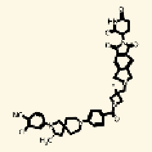 C[C@H]1CC2(CCN(c3ccc(C(=O)N4CC(F)(CN5Cc6cc7c(cc6C5)C(=O)N(C5CCC(=O)NC5=O)C7=O)C4)cc3)CC2)CN1c1ccc(C#N)c(Cl)c1